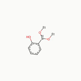 CCO[SiH](OCC)c1ccccc1O